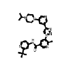 Cc1ncc(C(=O)Nc2ccnc(C(C)(C)C)c2)cc1-n1cc(-c2cncc(N3CCN(C(C)C)CC3)c2)nn1